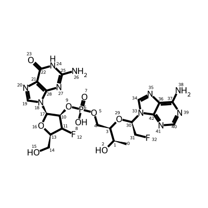 C[C@@H](O)[C@@H](COP(=O)(O)O[C@H]1C(F)[C@@H](CO)O[C@H]1n1cnc2c(=O)[nH]c(N)nc21)O[C@H](CF)n1cnc2c(N)ncnc21